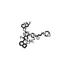 N#CC[C@H]1CN(c2nc(OC[C@@]34CCCN3C[C@H](F)C4)nc3c(F)c(-c4cccc5cccc(Cl)c45)ncc23)CCN1C(=O)/C=C/CN1CCCOCC1